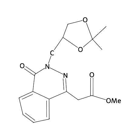 COC(=O)Cc1nn(CC2COC(C)(C)O2)c(=O)c2ccccc12